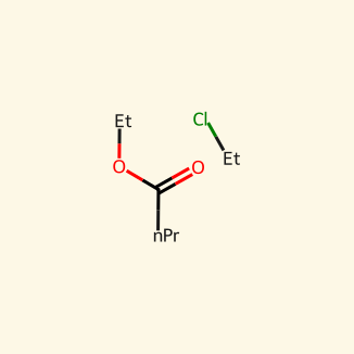 CCCC(=O)OCC.CCCl